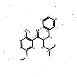 COc1ccc(O)c(C(=O)[C@@H](Cc2ccccc2)CN(C)C)c1